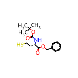 CC(C)(C)OC(=O)N[C@@H](CCS)C(=O)OCc1ccccc1